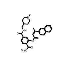 COC(=O)c1ccc(C(=O)NCC2CCN(C)CC2)cc1NC(=O)/C=C(/C)c1ccc2ccccc2c1